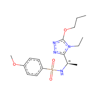 CCCOc1nnc([C@@H](C)NS(=O)(=O)c2ccc(OC)cc2)n1CC